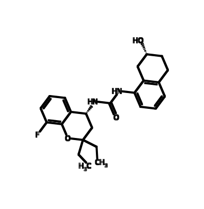 CCC1(CC)C[C@@H](NC(=O)Nc2cccc3c2C[C@H](O)CC3)c2cccc(F)c2O1